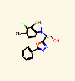 [C-]#[N+]c1ccc(N[C@H](CO)c2nnc(-c3ccccc3)o2)c(C)c1Cl